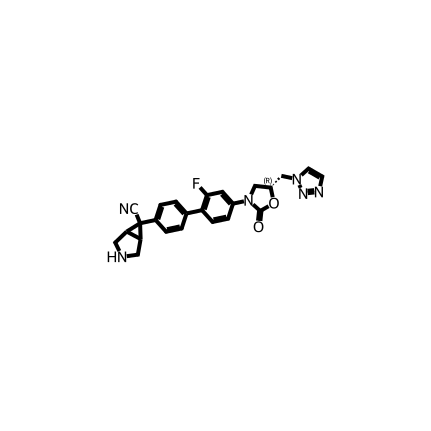 N#CC1(c2ccc(-c3ccc(N4C[C@H](Cn5ccnn5)OC4=O)cc3F)cc2)C2CNCC21